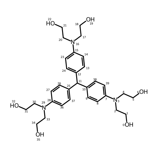 OCCN(CCO)c1ccc(C(c2ccc(N(CCO)CCO)cc2)c2ccc(N(CCO)CCO)cc2)cc1